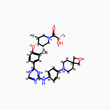 C[C@H](O)C(=O)N1CC[C@H](Oc2ccc(-c3ncnc(Nc4ccc(N5CCC6(CC5)COC6)cc4)n3)cc2C#N)[C@@H](F)C1